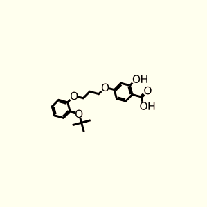 CC(C)(C)Oc1ccccc1OCCCOc1ccc(C(=O)O)c(O)c1